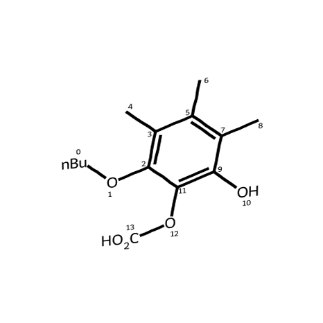 CCCCOc1c(C)c(C)c(C)c(O)c1OC(=O)O